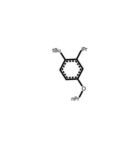 CCCOc1ccc(C(C)(C)C)c(C(C)C)c1